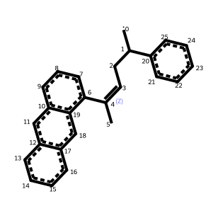 [CH2]C(C/C=C(/C)c1cccc2cc3ccccc3cc12)c1ccccc1